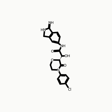 N=C1NCc2cc(NC(=O)C(O)[C@H]3OCCN(c4ccc(Cl)cc4)C3=O)ccc21